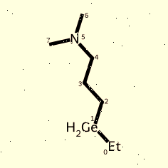 C[CH2][GeH2][CH2]CCN(C)C